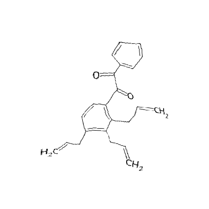 C=CCc1ccc(C(=O)C(=O)c2ccccc2)c(CC=C)c1CC=C